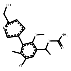 COc1c(C(C)OC(N)=O)cc(Cl)c(C)c1-c1ccc(CO)nc1